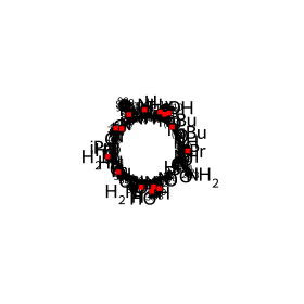 CCCC[C@H]1C(=O)N(C)[C@@H](CCCC)C(=O)N[C@@H](CC(C)C)C(=O)N[C@H](C(=O)NCC(N)=O)CSCC(=O)N[C@@H](Cc2ccc(O)cc2)C(=O)N(C)[C@@H](C)C(=O)N[C@@H](CC(N)=O)C(=O)N2CCC[C@H]2C(=O)N[C@@H](CN)C(=O)N[C@@H](CC(C)C)C(=O)N2CCC[C@H]2C(=O)N[C@@H](Cc2c[nH]c3ccccc23)C(=O)N[C@@H](CCN)C(=O)N[C@@H](Cc2ccc(O)cc2)C(=O)N1C